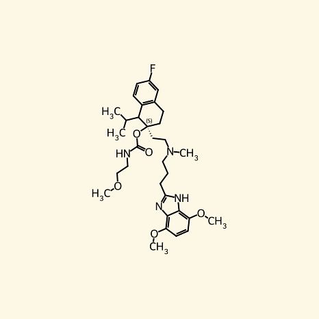 COCCNC(=O)O[C@]1(CCN(C)CCCc2nc3c(OC)ccc(OC)c3[nH]2)CCc2cc(F)ccc2C1C(C)C